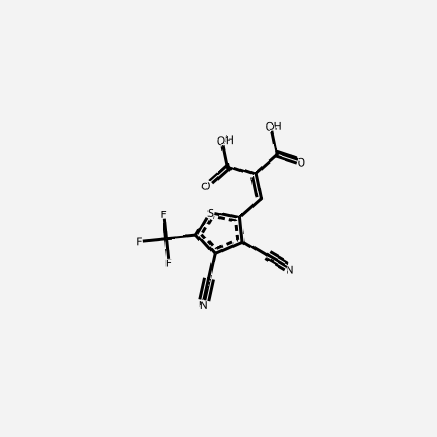 N#Cc1c(C=C(C(=O)O)C(=O)O)sc(C(F)(F)F)c1C#N